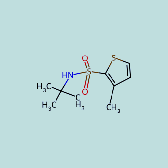 Cc1ccsc1S(=O)(=O)NC(C)(C)C